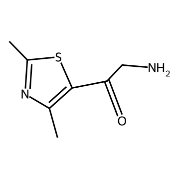 Cc1nc(C)c(C(=O)CN)s1